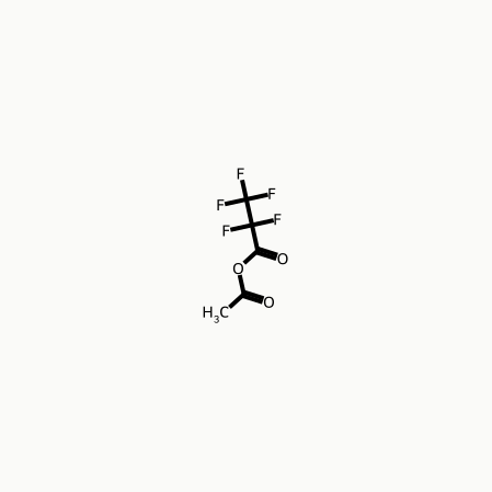 CC(=O)OC(=O)C(F)(F)C(F)(F)F